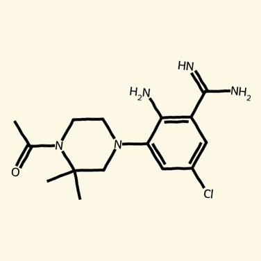 CC(=O)N1CCN(c2cc(Cl)cc(C(=N)N)c2N)CC1(C)C